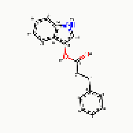 O=C(CCc1ccccc1)Oc1c[nH]c2ccccc12